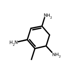 CC1=C(N)C=C(N)CC1N